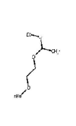 [CH2]C(OCC)OCCOCCCC